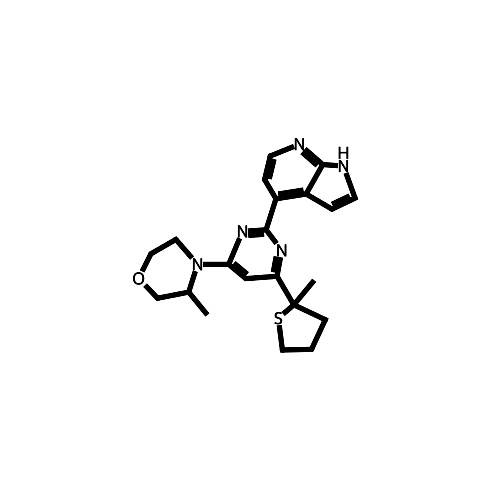 CC1COCCN1c1cc(C2(C)CCCS2)nc(-c2ccnc3[nH]ccc23)n1